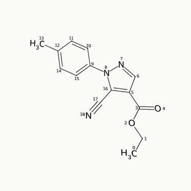 CCOC(=O)c1cnn(-c2ccc(C)cc2)c1C#N